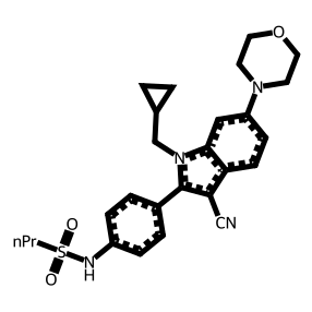 CCCS(=O)(=O)Nc1ccc(-c2c(C#N)c3ccc(N4CCOCC4)cc3n2CC2CC2)cc1